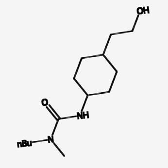 CCCCN(C)C(=O)NC1CCC(CCO)CC1